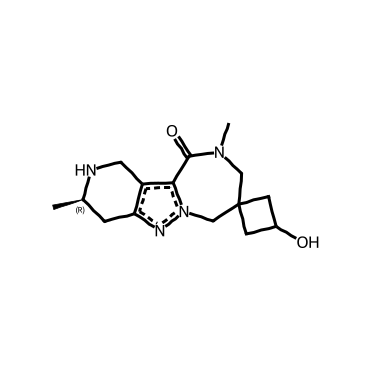 C[C@@H]1Cc2nn3c(c2CN1)C(=O)N(C)CC1(CC(O)C1)C3